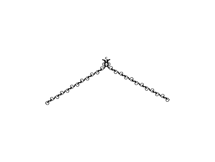 COCCOCCOCCOCCOCCOCCOCCOCCOCCOCCOCCOCC1Oc2c(C)sc(C)c2OC1COCCOCCOCCOCCOCCOCCOCCOCCOCCOCCOCCOC